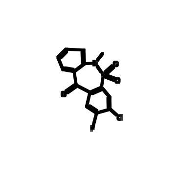 CN1c2ccccc2C(=O)c2cc(F)c(Cl)cc2S1(=O)=O